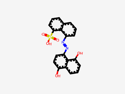 O=S(=O)(O)c1cccc2cccc(/N=N/c3ccc(O)c4cccc(O)c34)c12